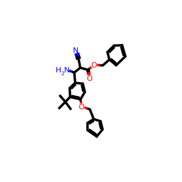 CC(C)(C)c1cc(C(N)C(C#N)C(=O)OCc2ccccc2)ccc1OCc1ccccc1